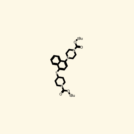 CC(C)(C)OC(=O)N1CCC(Sc2ccc(N3CCN(C(=O)OC(C)(C)C)CC3)c3ccccc23)CC1